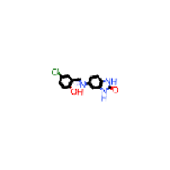 O=c1[nH]c2ccc(/N=C/c3cc(Cl)ccc3O)cc2[nH]1